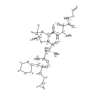 C=CCNC(=O)C(=O)C(CCC)NC(=O)[C@@H]1C2[C@H](CN1C(=O)[C@@H](NC(=O)N[C@H](C(=O)OCC1CC1)C1CCCCC1)C(C)(C)C)C2(C)C